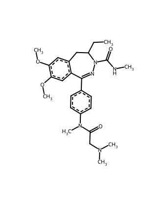 CCC1Cc2cc(OC)c(OC)cc2C(c2ccc(N(C)C(=O)CN(C)C)cc2)=NN1C(=O)NC